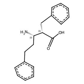 N[C@@H](CCc1ccccc1)[C@H](Cc1ccccc1)C(=O)O